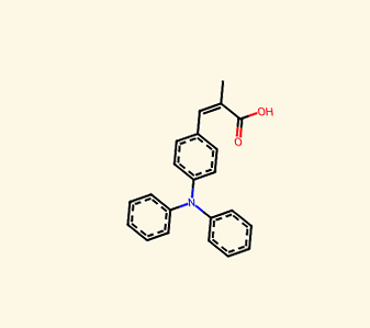 CC(=Cc1ccc(N(c2ccccc2)c2ccccc2)cc1)C(=O)O